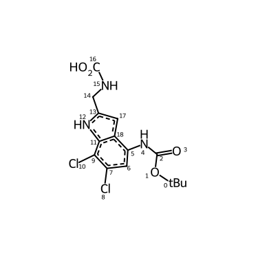 CC(C)(C)OC(=O)Nc1cc(Cl)c(Cl)c2[nH]c(CNC(=O)O)cc12